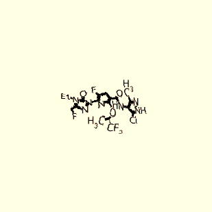 CCn1c(CF)nn(-c2nc(O[C@@H](C)C(F)(F)F)c(C(=O)Nc3c(C)n[nH]c3Cl)cc2F)c1=O